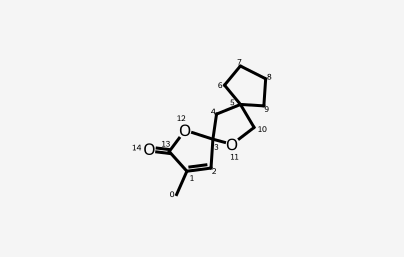 CC1=CC2(CC3(CCCC3)CO2)OC1=O